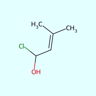 CC(C)=CC(O)Cl